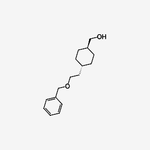 OC[C@H]1CC[C@H](CCOCc2ccccc2)CC1